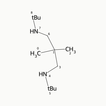 CC(C)(CNC(C)(C)C)CNC(C)(C)C